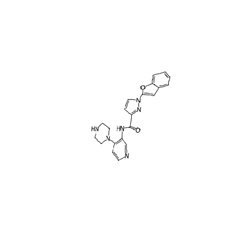 O=C(Nc1cnccc1N1CCNCC1)c1ccn(-c2cc3ccccc3o2)n1